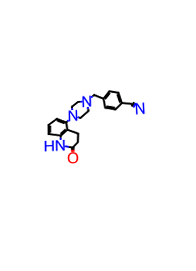 N#Cc1ccc(CN2CCN(c3cccc4c3CCC(=O)N4)CC2)cc1